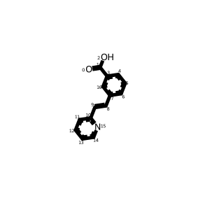 O=C(O)c1cccc(C=Cc2ccccn2)c1